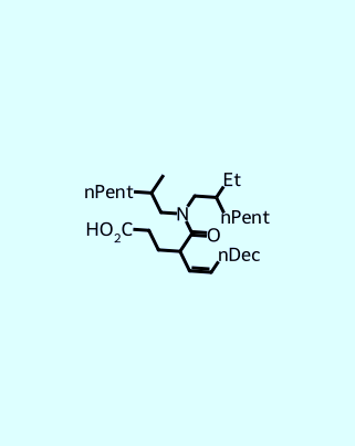 CCCCCCCCCC/C=C\C(CCC(=O)O)C(=O)N(CC(C)CCCCC)CC(CC)CCCCC